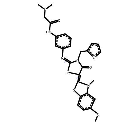 COc1ccc2c(c1)N(C)/C(=C1/S/C(=N/c3cccc(NC(=O)CN(C)C)c3)N(Cc3ccco3)C1=O)S2